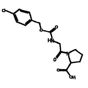 O=C(NCC(=O)N1CCCC1C(=O)O)OCc1ccc(Cl)cc1